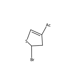 CC(=O)C1=CSC(Br)C1